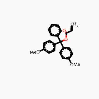 C=CC(=O)OC(c1ccccc1)(c1ccc(OC)cc1)c1ccc(OC)cc1